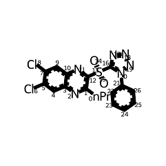 CCCc1nc2cc(Cl)c(Cl)cc2nc1S(=O)(=O)c1nnnn1-c1ccccc1